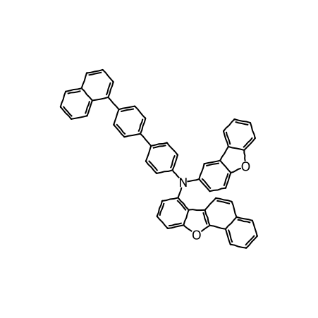 c1ccc2c(-c3ccc(-c4ccc(N(c5ccc6oc7ccccc7c6c5)c5cccc6oc7c8ccccc8ccc7c56)cc4)cc3)cccc2c1